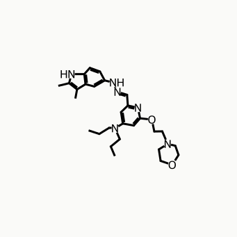 CCCN(CCC)c1cc(/C=N/Nc2ccc3[nH]c(C)c(C)c3c2)nc(OCCN2CCOCC2)c1